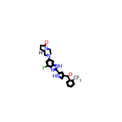 O=C(c1c[nH]c(-c2nc3c(F)cc(N4CCN5C(=O)CC[C@@H]5C4)cc3[nH]2)c1)c1ccccc1C(F)(F)F